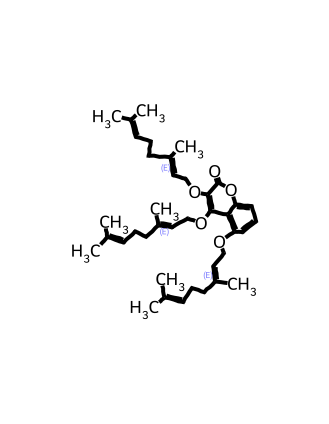 CC(C)=CCC/C(C)=C/COc1c(OC/C=C(\C)CCC=C(C)C)c2c(OC/C=C(\C)CCC=C(C)C)cccc2oc1=O